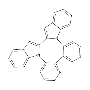 c1ccc2c(c1)cc1c3cc4ccccc4n3c3cccnc3c3ccccc3n21